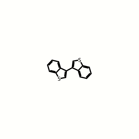 c1ccc2c(-c3csc4ccccc34)csc2c1